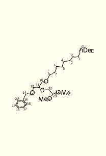 CCCCCCCCCCCCCCCCCCOCC(COCc1ccccc1)OCC(OC)OC